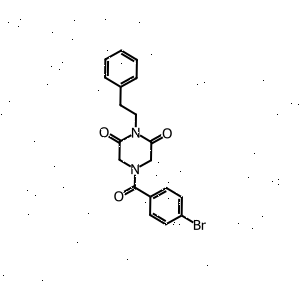 O=C(c1ccc(Br)cc1)N1CC(=O)N(CCc2ccccc2)C(=O)C1